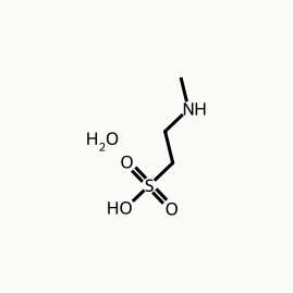 CNCCS(=O)(=O)O.O